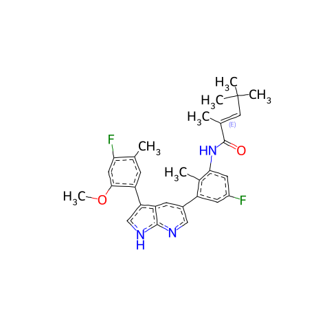 COc1cc(F)c(C)cc1-c1c[nH]c2ncc(-c3cc(F)cc(NC(=O)/C(C)=C/C(C)(C)C)c3C)cc12